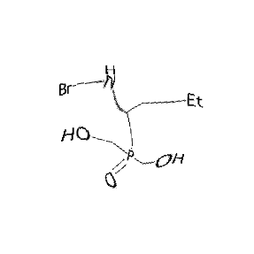 CCC(NBr)P(=O)(O)O